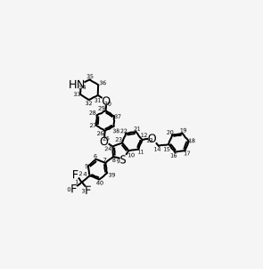 FC(F)(F)c1ccc(-c2sc3cc(OCc4ccccc4)ccc3c2Oc2ccc(OC3CCNCC3)cc2)cc1